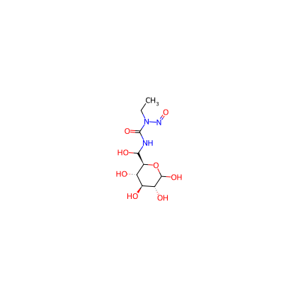 CCN(N=O)C(=O)NC(O)[C@H]1OC(O)[C@H](O)[C@@H](O)[C@@H]1O